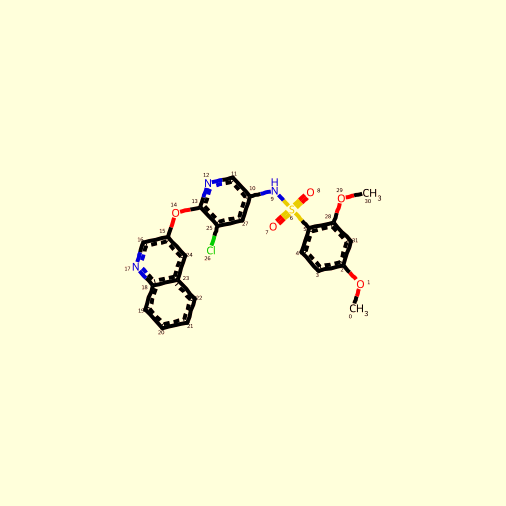 COc1ccc(S(=O)(=O)Nc2cnc(Oc3cnc4ccccc4c3)c(Cl)c2)c(OC)c1